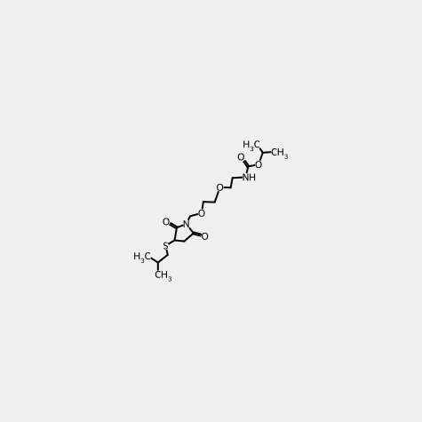 CC(C)CSC1CC(=O)N(COCCOCCNC(=O)OC(C)C)C1=O